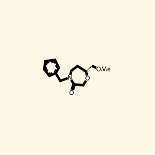 COC[C@H]1CCN(Cc2ccccc2)C(=O)CO1